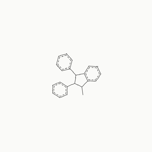 CC1c2cc[c]cc2C(c2ccccc2)C1c1ccccc1